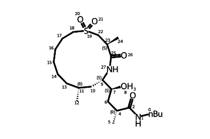 CCCCNC(=O)[C@H](C)C[C@H](O)[C@@H]1C[C@H](C)CCCCCCS(=O)(=O)C[C@@H](C)C(=O)N1